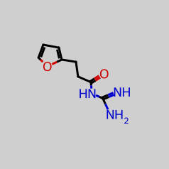 N=C(N)NC(=O)CCc1ccco1